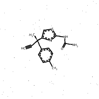 C#C[C@@](C)(c1ccc(C)cc1)c1csc(NC(N)=O)n1